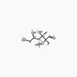 C[C@](O)(C=O)[C@@](C)(O)[C@H](O)[C@H](O)CO